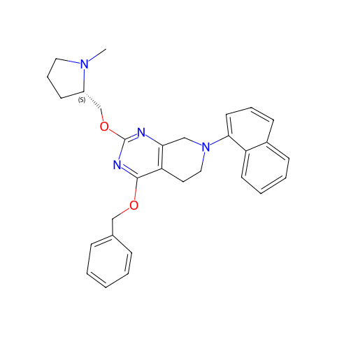 CN1CCC[C@H]1COc1nc2c(c(OCc3ccccc3)n1)CCN(c1cccc3ccccc13)C2